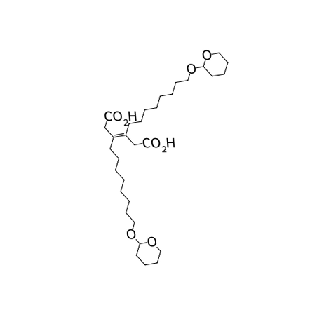 O=C(O)CC(CCCCCCCCOC1CCCCO1)=C(CCCCCCCCOC1CCCCO1)CC(=O)O